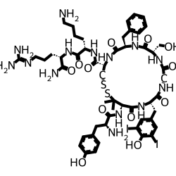 CC1(C)SSC[C@H](C(=O)N[C@@H](CCCCN)C(=O)N[C@@H](CCCN=C(N)N)C(N)=O)NC(=O)[C@@H](Cc2ccccc2)NC(=O)[C@H](CO)NC(=O)CNC(=O)[C@H](Cc2cc(I)c(O)c(I)c2)NC(=O)[C@@H]1NC(=O)[C@@H](N)Cc1ccc(O)cc1